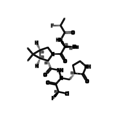 CC[C@H](C)[C@H](NC(=O)C(C)F)C(=O)N1C[C@H]2[C@@H]([C@H]1C(=O)NN(C[C@@H]1CCNC1=O)C(=O)[C@H](F)Cl)C2(C)C